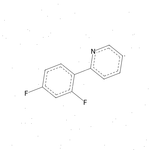 Fc1ccc(-c2cc[c]cn2)c(F)c1